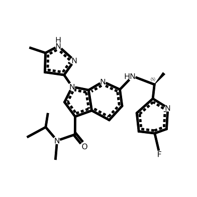 Cc1cc(-n2cc(C(=O)N(C)C(C)C)c3ccc(N[C@@H](C)c4ccc(F)cn4)nc32)n[nH]1